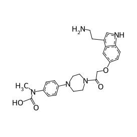 CN(C(=O)O)c1ccc(N2CCN(C(=O)COc3ccc4[nH]cc(CCN)c4c3)CC2)cc1